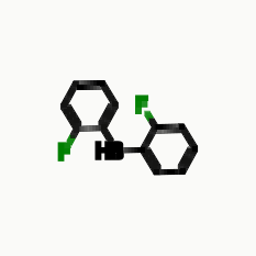 Fc1ccccc1Bc1ccccc1F